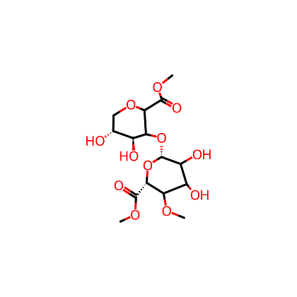 COC(=O)C1OC[C@@H](O)[C@H](O)C1O[C@H]1O[C@@H](C(=O)OC)C(OC)C(O)C1O